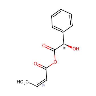 O=C(O)/C=C\C(=O)OC(=O)[C@H](O)c1ccccc1